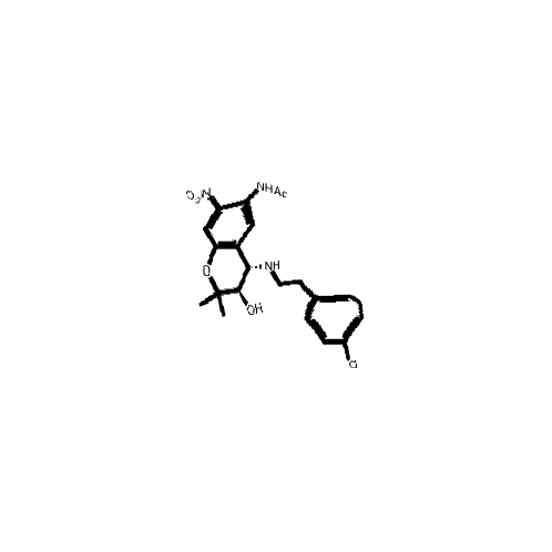 CC(=O)Nc1cc2c(cc1[N+](=O)[O-])OC(C)(C)[C@H](O)[C@H]2NCCc1ccc(Cl)cc1